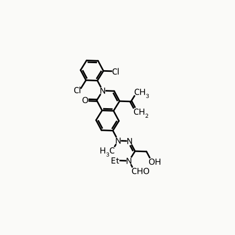 C=C(C)c1cn(-c2c(Cl)cccc2Cl)c(=O)c2ccc(N(C)/N=C(/CO)N(C=O)CC)cc12